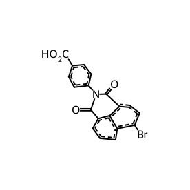 O=C(O)c1ccc(N2C(=O)c3cccc4c(Br)ccc(c34)C2=O)cc1